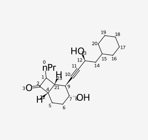 CCCC1C(=O)[C@H]2CC[C@@H](O)[C@H](C#C[C@@H](O)CC3CCCCC3)[C@@H]12